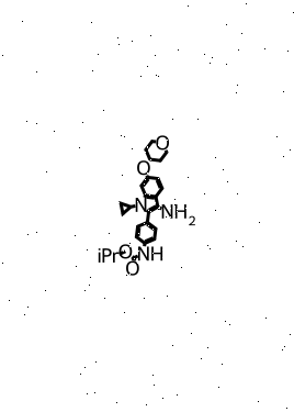 CC(C)OC(=O)Nc1ccc(-c2c(N)c3ccc(OC4CCOCC4)cc3n2C2CC2)cc1